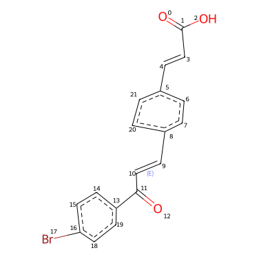 O=C(O)C=Cc1ccc(/C=C/C(=O)c2ccc(Br)cc2)cc1